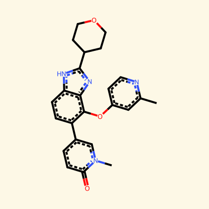 Cc1cc(Oc2c(-c3ccc(=O)n(C)c3)ccc3[nH]c(C4CCOCC4)nc23)ccn1